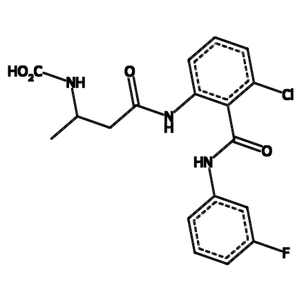 CC(CC(=O)Nc1cccc(Cl)c1C(=O)Nc1cccc(F)c1)NC(=O)O